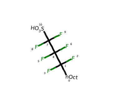 CCCCCCCCC(F)(F)C(F)(F)C(F)(F)S(=O)(=O)O